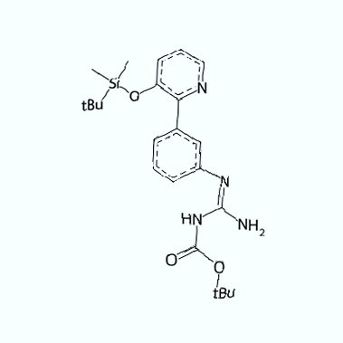 CC(C)(C)OC(=O)NC(N)=Nc1cccc(-c2ncccc2O[Si](C)(C)C(C)(C)C)c1